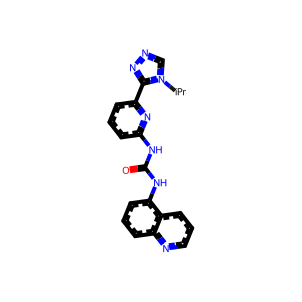 CC(C)n1cnnc1-c1cccc(NC(=O)Nc2cccc3ncccc23)n1